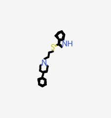 C1=C(c2ccccc2)CCN(CCCCSc2c[nH]c3ccccc23)C1